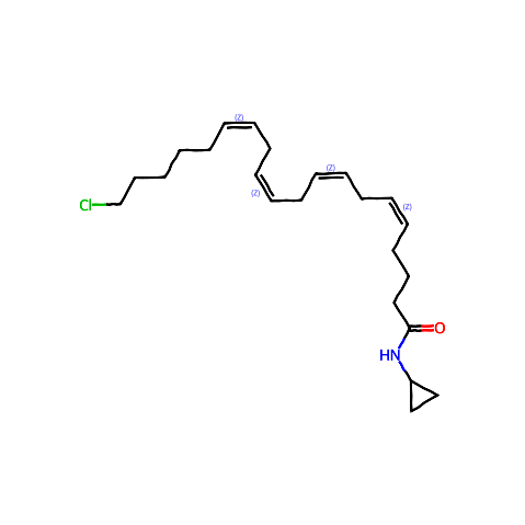 O=C(CCC/C=C\C/C=C\C/C=C\C/C=C\CCCCCCl)NC1CC1